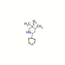 CC1CC(c2ccccc2)NCC1(C)C